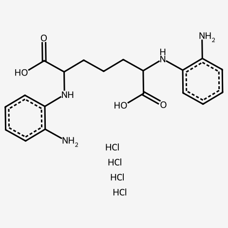 Cl.Cl.Cl.Cl.Nc1ccccc1NC(CCCC(Nc1ccccc1N)C(=O)O)C(=O)O